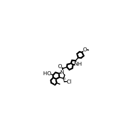 COc1ccc(-c2cc3cc(C(=O)N4C[C@@H](CCl)c5c4cc(O)c4cccc(C)c54)ccc3[nH]2)cc1